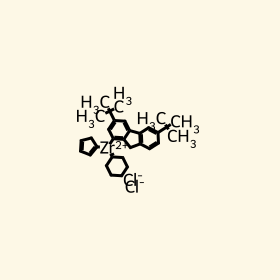 CC(C)(C)c1ccc2c(c1)-c1cc(C(C)(C)C)c[c]([Zr+2]([C]3=CC=CC3)=[C]3CCCCC3)c1C2.[Cl-].[Cl-]